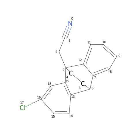 N#CCC12CCC(c3ccccc31)c1ccc(Cl)cc12